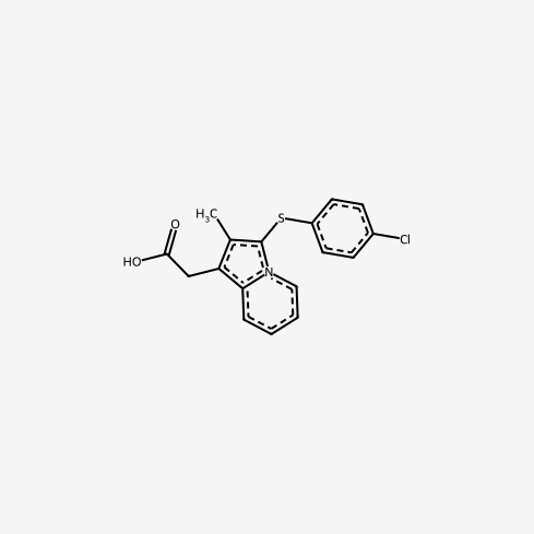 Cc1c(CC(=O)O)c2ccccn2c1Sc1ccc(Cl)cc1